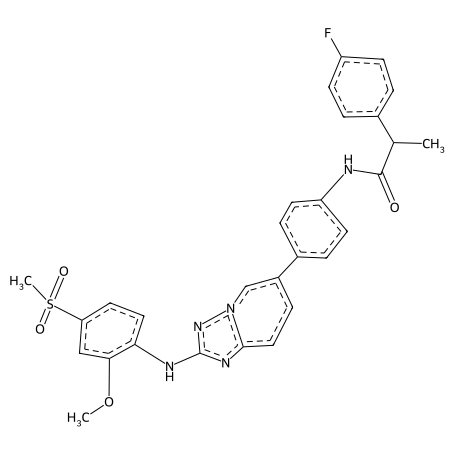 COc1cc(S(C)(=O)=O)ccc1Nc1nc2ccc(-c3ccc(NC(=O)C(C)c4ccc(F)cc4)cc3)cn2n1